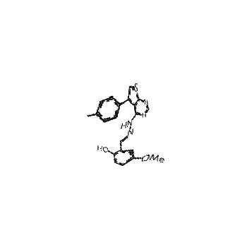 COc1ccc(O)c(/C=N/Nc2ncnc3scc(-c4ccc(C)cc4)c23)c1